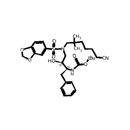 CC(C)(CCCCC#N)CN(C[C@H](O)[C@H](Cc1ccccc1)NC(=O)OC(C)(C)C)S(=O)(=O)c1ccc2c(c1)OCO2